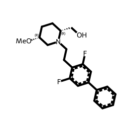 CO[C@@H]1CC[C@H](CO)N(CCc2c(F)cc(-c3ccccc3)cc2F)C1